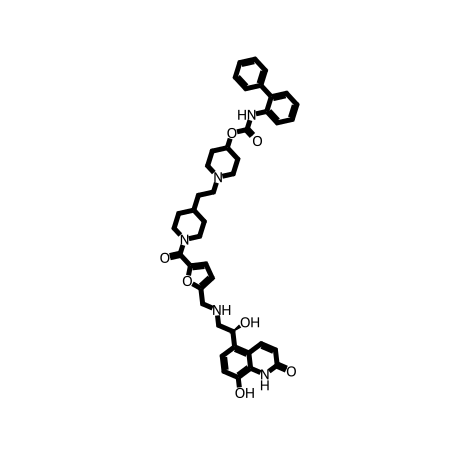 O=C(Nc1ccccc1-c1ccccc1)OC1CCN(CCC2CCN(C(=O)c3ccc(CNC[C@@H](O)c4ccc(O)c5[nH]c(=O)ccc45)o3)CC2)CC1